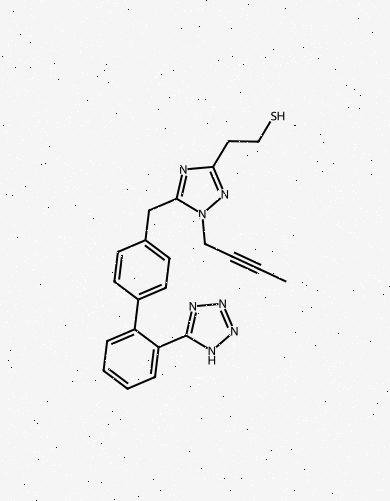 CC#CCn1nc(CCS)nc1Cc1ccc(-c2ccccc2-c2nnn[nH]2)cc1